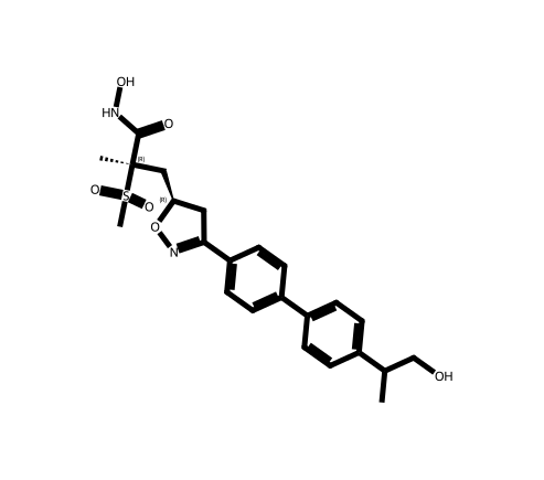 CC(CO)c1ccc(-c2ccc(C3=NO[C@@H](C[C@](C)(C(=O)NO)S(C)(=O)=O)C3)cc2)cc1